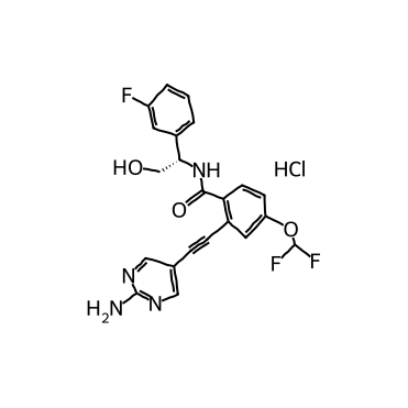 Cl.Nc1ncc(C#Cc2cc(OC(F)F)ccc2C(=O)N[C@H](CO)c2cccc(F)c2)cn1